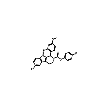 COc1ccc(C2c3[nH]c4ccc(Cl)cc4c3CCN2C(=O)Oc2ccc(F)cc2)c(F)c1